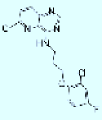 Fc1ccc(OCCCNc2ncnc3ccc(Cl)nc23)c(Cl)c1